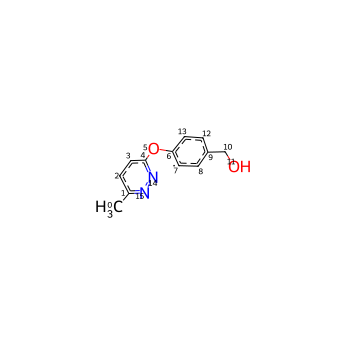 Cc1ccc(Oc2[c]cc(CO)cc2)nn1